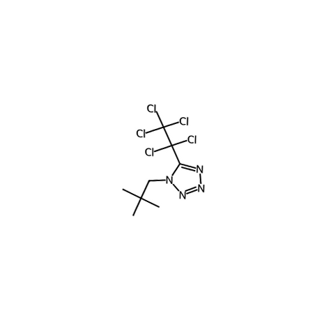 CC(C)(C)Cn1nnnc1C(Cl)(Cl)C(Cl)(Cl)Cl